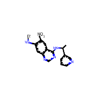 CCNc1cc2ncnc(NC(C)c3cccnc3)c2cc1[N+](=O)[O-]